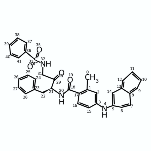 Cc1cc(Nc2ccc3ccccc3c2)ccc1C(=O)N[C@@H](Cc1ccccc1)C(=O)CNS(=O)(=O)c1ccccc1